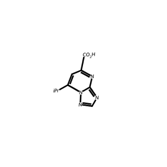 CC(C)c1cc(C(=O)O)nc2ncnn12